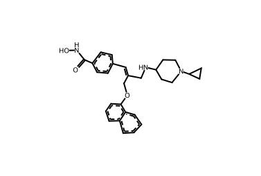 O=C(NO)c1ccc(/C=C(/CNC2CCN(C3CC3)CC2)COc2cccc3ccccc23)cc1